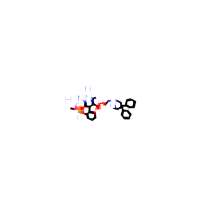 CCOC(=O)C1=C(N)NC(C)=C(C(=O)OCCN2CCC(c3ccccc3)(c3ccccc3)CC2)C1c1ccccc1C(F)F